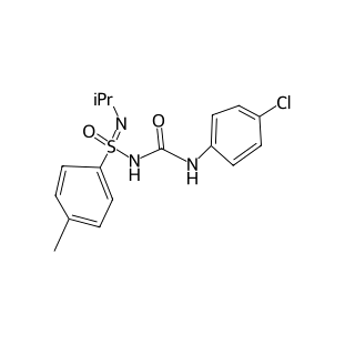 Cc1ccc(S(=O)(=NC(C)C)NC(=O)Nc2ccc(Cl)cc2)cc1